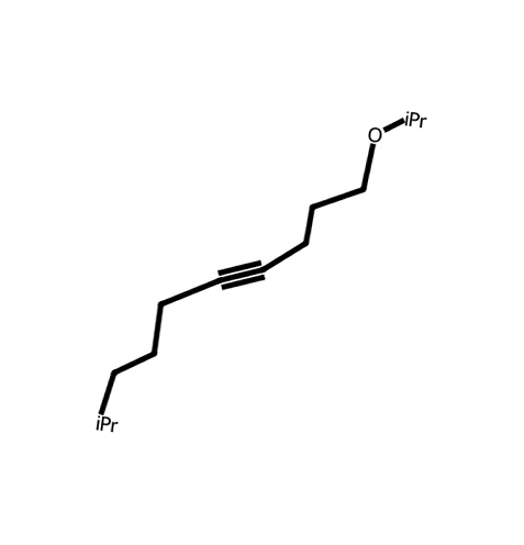 CC(C)CCCC#CCCCOC(C)C